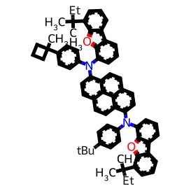 CCC(C)(C)c1cccc2c1oc1c(N(c3ccc(C(C)(C)C)cc3)c3ccc4ccc5c(N(c6ccc(C7(C)CCC7)cc6)c6cccc7c6oc6c(C(C)(C)CC)cccc67)ccc6ccc3c4c65)cccc12